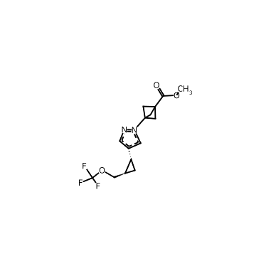 COC(=O)C12CC(n3cc([C@@H]4C[C@H]4COC(F)(F)F)cn3)(C1)C2